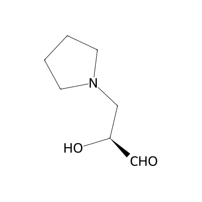 O=C[C@@H](O)CN1CCCC1